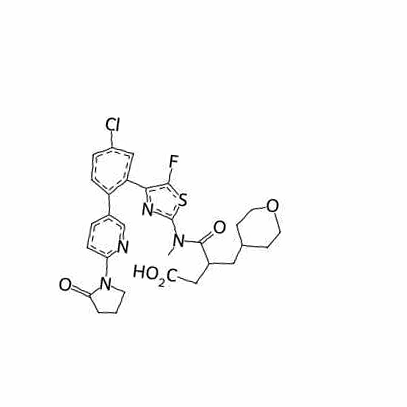 CN(C(=O)C(CC(=O)O)CC1CCOCC1)c1nc(-c2cc(Cl)ccc2-c2ccc(N3CCCC3=O)nc2)c(F)s1